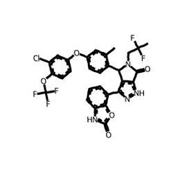 Cc1cc(Oc2ccc(OC(F)(F)F)c(Cl)c2)ccc1C1c2c(-c3cccc4[nH]c(=O)oc34)n[nH]c2C(=O)N1CC(C)(F)F